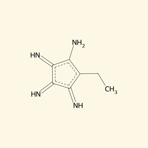 CCc1c(N)c(=N)c(=N)c1=N